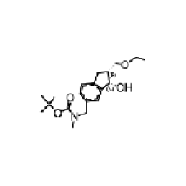 CCOC[C@H]1Cc2ccc(CN(C)C(=O)OC(C)(C)C)cc2[C@H]1O